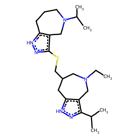 CCN1Cc2c(C(C)C)n[nH]c2CC(CSc2n[nH]c3c2CN(C(C)C)CCC3)C1